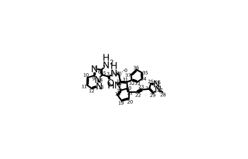 C[C@@H](NC(=O)c1c(N)nc2cccnn12)c1[nH]c2cccc(C#Cc3cnn(C)c3)c2c1-c1ccccc1